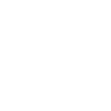 CCCC1CCC(c2ccc(-c3ccc(CCc4ccc(CC)cc4F)cc3)c(F)c2F)CC1